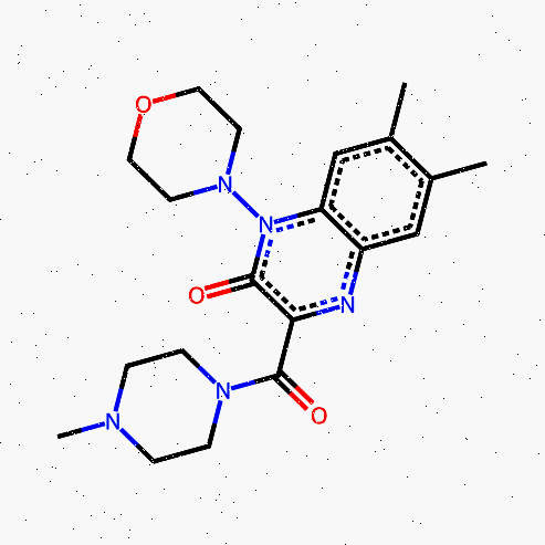 Cc1cc2nc(C(=O)N3CCN(C)CC3)c(=O)n(N3CCOCC3)c2cc1C